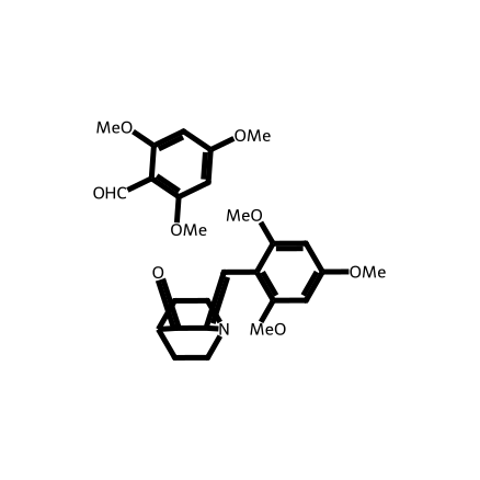 COc1cc(OC)c(C=C2C(=O)C3CCN2CC3)c(OC)c1.COc1cc(OC)c(C=O)c(OC)c1